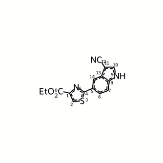 CCOC(=O)c1csc(-c2ccc3[nH]cc(C#N)c3c2)n1